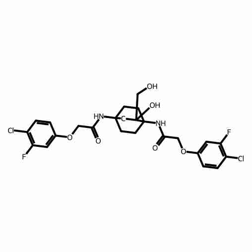 O=C(COc1ccc(Cl)c(F)c1)NC12CCC(NC(=O)COc3ccc(Cl)c(F)c3)(CC1)C(O)(CO)C2